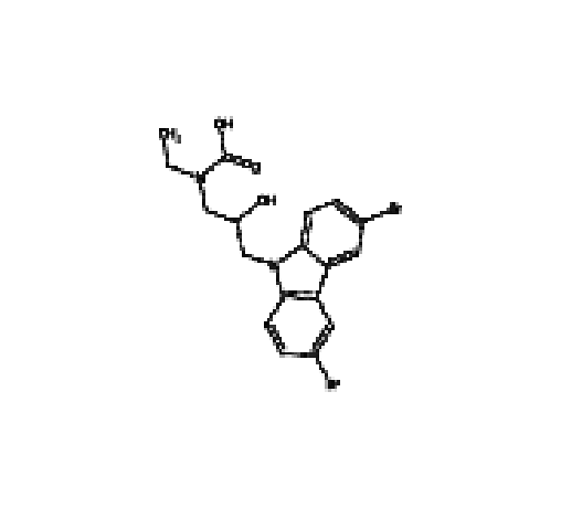 CCN(CC(O)Cn1c2ccc(Br)cc2c2cc(Br)ccc21)C(=O)O